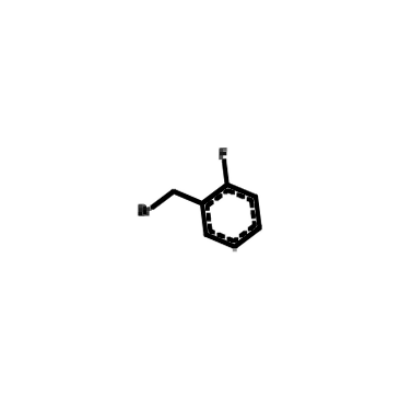 Fc1cc[c]cc1CBr